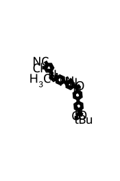 C[C@H]1CC2(CCN(c3ccc(C(=O)N4CCC(C5CCN(C(=O)OC(C)(C)C)CC5)CC4)nn3)CC2)CN1c1ccc(C#N)c(Cl)c1